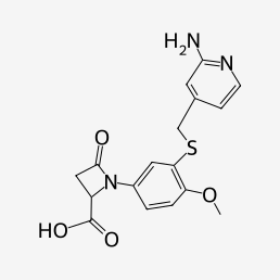 COc1ccc(N2C(=O)CC2C(=O)O)cc1SCc1ccnc(N)c1